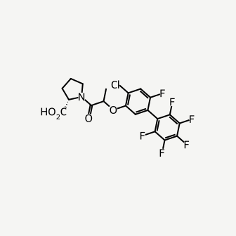 CC(Oc1cc(-c2c(F)c(F)c(F)c(F)c2F)c(F)cc1Cl)C(=O)N1CCC[C@H]1C(=O)O